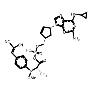 CON(c1ccc(C=C(C#N)C#N)cc1)[C@@H](C)C(=O)OP(=O)(O)OC[C@@H]1C=C[C@H](n2cnc3c(NC4CC4)nc(N)nc32)C1